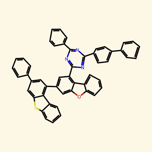 c1ccc(-c2ccc(-c3nc(-c4ccccc4)nc(-c4cc(-c5cc(-c6ccccc6)cc6sc7ccccc7c56)cc5oc6ccccc6c45)n3)cc2)cc1